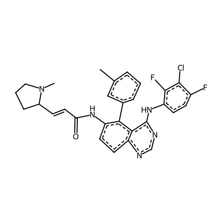 Cc1cccc(-c2c(NC(=O)/C=C/C3CCCN3C)ccc3ncnc(Nc4ccc(F)c(Cl)c4F)c23)c1